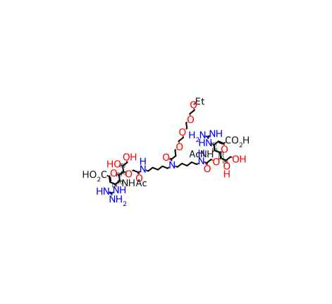 CCOCCOCCOCCOCCC(=O)N(CCCCCNC(=O)CO[C@@H]([C@@H]1OC(C(=O)O)=C[C@H](NC(=N)N)[C@H]1NC(C)=O)[C@H](O)CO)CCCCCNC(=O)CO[C@@H]([C@@H]1OC(C(=O)O)=C[C@H](NC(=N)N)[C@H]1NC(C)=O)[C@H](O)CO